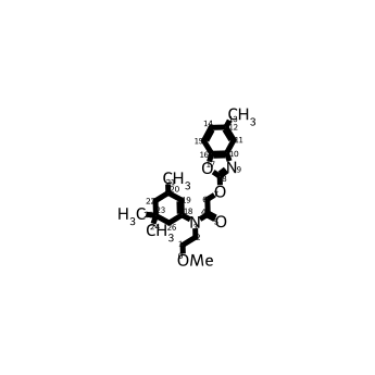 COCCN(C(=O)COc1nc2cc(C)ccc2o1)C1=CC(C)CC(C)(C)C1